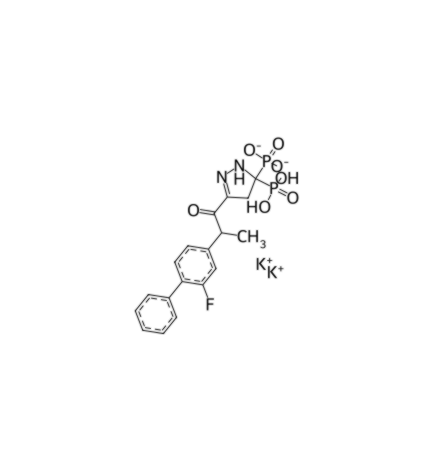 CC(C(=O)C1=NNC(P(=O)([O-])[O-])(P(=O)(O)O)C1)c1ccc(-c2ccccc2)c(F)c1.[K+].[K+]